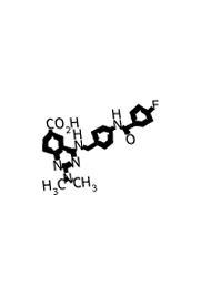 CN(C)c1nc(NCc2ccc(NC(=O)c3ccc(F)cc3)cc2)c2cc(C(=O)O)ccc2n1